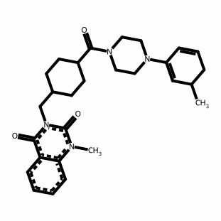 CC1C=C(N2CCN(C(=O)C3CCC(Cn4c(=O)c5ccccc5n(C)c4=O)CC3)CC2)C=CC1